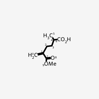 C=C(CCC(C)C(=O)O)C(=O)OC